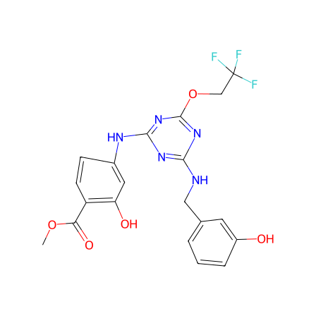 COC(=O)c1ccc(Nc2nc(NCc3cccc(O)c3)nc(OCC(F)(F)F)n2)cc1O